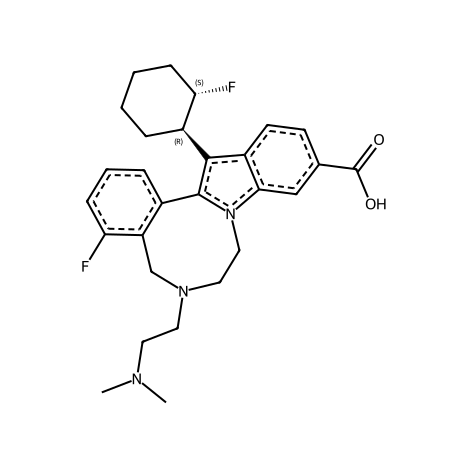 CN(C)CCN1CCn2c(c([C@H]3CCCC[C@@H]3F)c3ccc(C(=O)O)cc32)-c2cccc(F)c2C1